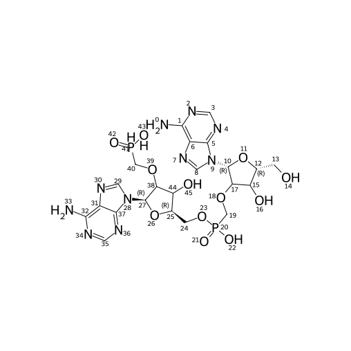 Nc1ncnc2c1ncn2[C@@H]1O[C@H](CO)C(O)C1OCP(=O)(O)OC[C@H]1O[C@@H](n2cnc3c(N)ncnc32)C(OC[PH](=O)O)C1O